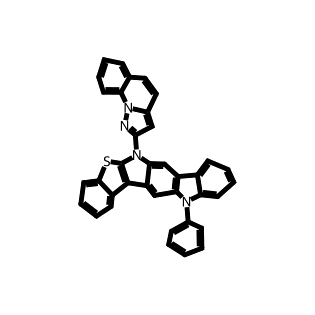 c1ccc(-n2c3ccccc3c3cc4c(cc32)c2c3ccccc3sc2n4-c2cc3ccc4ccccc4n3n2)cc1